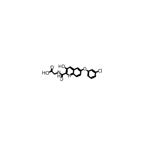 O=C(O)CNC(=O)c1nc2ccc(Oc3cccc(Cl)c3)cc2cc1O